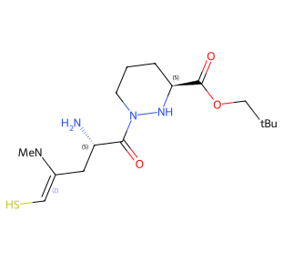 CN/C(=C\S)C[C@H](N)C(=O)N1CCC[C@@H](C(=O)OCC(C)(C)C)N1